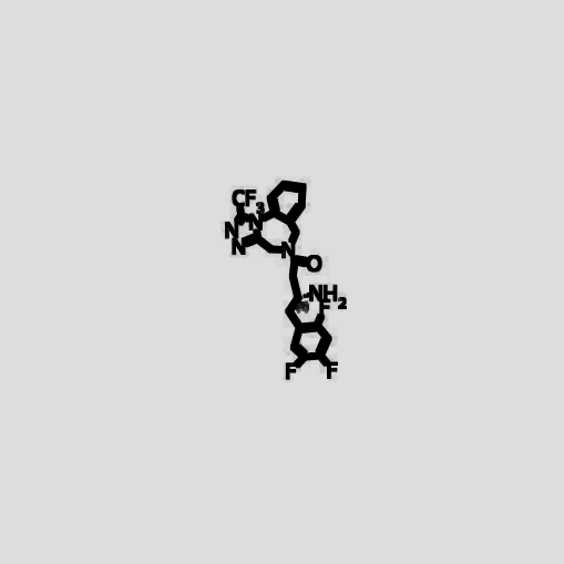 N[C@@H](CC(=O)N1Cc2ccccc2-n2c(nnc2C(F)(F)F)C1)Cc1cc(F)c(F)cc1F